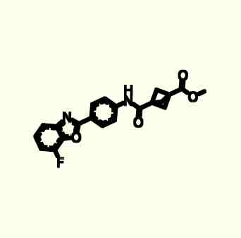 COC(=O)C12CC(C(=O)Nc3ccc(-c4nc5cccc(F)c5o4)cc3)(C1)C2